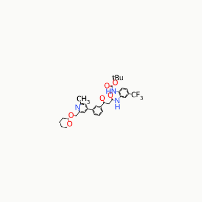 Cc1cc(-c2cccc(C(=O)CC(=O)Nc3cc(C(F)(F)F)ccc3NC(=O)OC(C)(C)C)c2)cc(COC2CCCCO2)n1